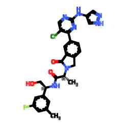 Cc1cc(F)cc([C@@H](CO)NC(=O)[C@@H](C)N2Cc3ccc(-c4nc(Nc5cn[nH]c5)ncc4Cl)cc3C2=O)c1